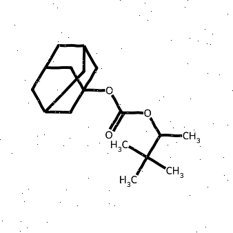 CC(OC(=O)OC12CC3CC(CC(C3)C1)C2)C(C)(C)C